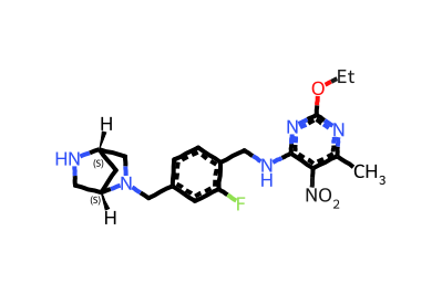 CCOc1nc(C)c([N+](=O)[O-])c(NCc2ccc(CN3C[C@@H]4C[C@H]3CN4)cc2F)n1